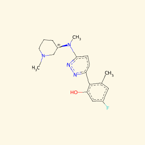 Cc1cc(F)cc(O)c1-c1ccc(N(C)[C@@H]2CCCN(C)C2)nn1